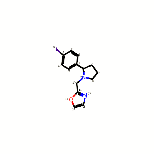 Ic1ccc(C2CCCN2Cc2ncco2)cc1